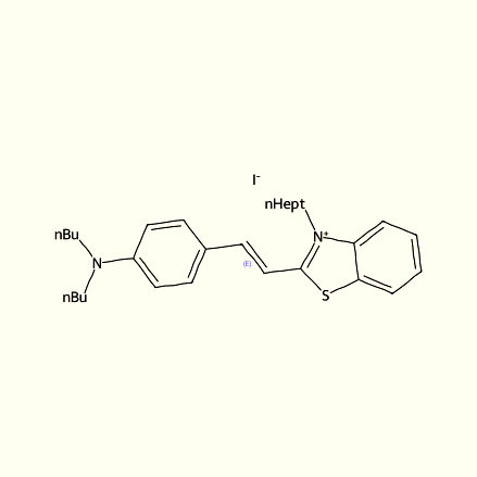 CCCCCCC[n+]1c(/C=C/c2ccc(N(CCCC)CCCC)cc2)sc2ccccc21.[I-]